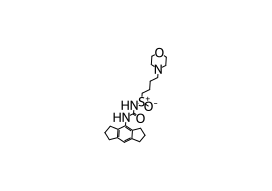 O=C(Nc1c2c(cc3c1CCC3)CCC2)N[S+]([O-])CCCCN1CCOCC1